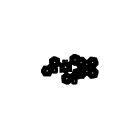 c1ccc(-c2nc(-c3cccc4c3oc3ccccc34)nc(-c3cccc4oc5ccc(-c6cccc7c6C6(c8ccccc8-c8ccccc86)c6ccccc6-7)cc5c34)n2)cc1